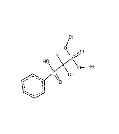 CCOP(=O)(OCC)C(C)(O)P(=O)(O)c1ccccc1